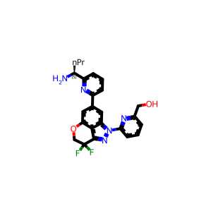 CCC[C@H](N)c1cccc(-c2cc3c4c(nn(-c5cccc(CO)n5)c4c2)C(F)(F)CO3)n1